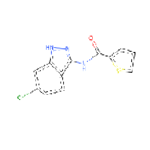 O=C(Nc1n[nH]c2cc(Cl)ccc12)c1cccs1